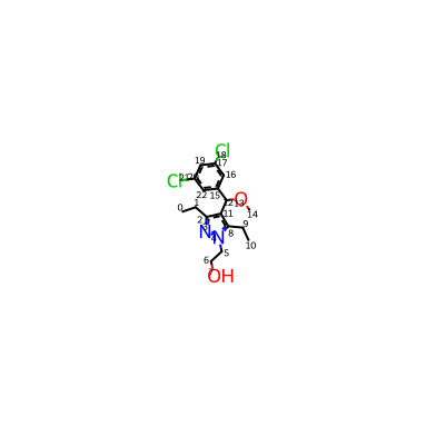 CCc1nn(CCO)c(CC)c1C(OC)c1cc(Cl)cc(Cl)c1